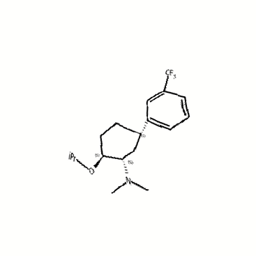 CC(C)O[C@H]1CC[C@H](c2cccc(C(F)(F)F)c2)C[C@@H]1N(C)C